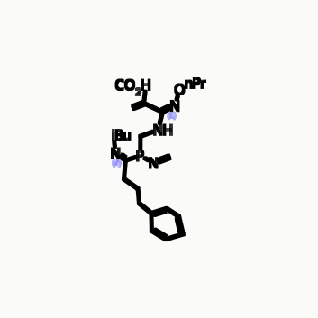 C=NP(CN/C(=N/OCCC)C(=C)C(=O)O)/C(CCCc1ccccc1)=N\C(C)CC